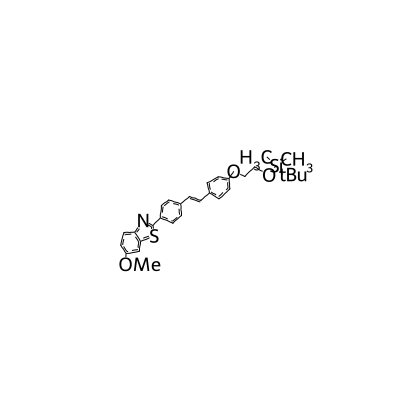 COc1ccc2nc(-c3ccc(C=Cc4ccc(OCCO[Si](C)(C)C(C)(C)C)cc4)cc3)sc2c1